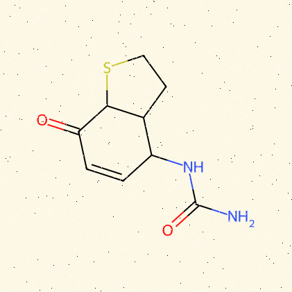 NC(=O)NC1C=CC(=O)C2SCCC12